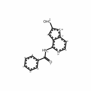 O=Cc1cc2c(NC(=O)c3ccccc3)nccc2s1